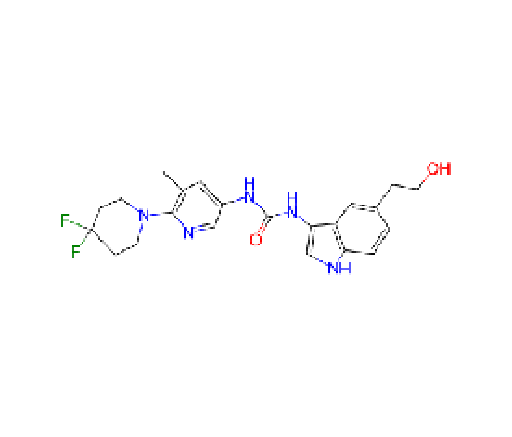 Cc1cc(NC(=O)Nc2c[nH]c3ccc(CCO)cc23)cnc1N1CCC(F)(F)CC1